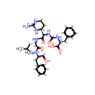 CC(C)C[C@H](NC(=O)C(NC(=O)N[C@@H](Cc1ccccc1)C(=O)O)[C@@H]1CCN=C(N)N1)C(=O)NC(C=O)Cc1ccccc1